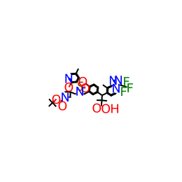 Cc1cnc2c(c1)S(=O)(=O)N(Cc1cc(C(c3ccn4c(C(F)(F)F)nnc4c3C)C(C)(C)C(=O)O)ccc1C)CC1(CN(C(=O)OC(C)(C)C)C1)O2